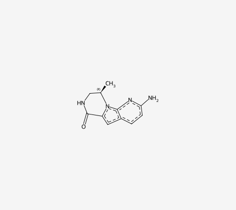 C[C@@H]1CNC(=O)c2cc3ccc(N)nc3n21